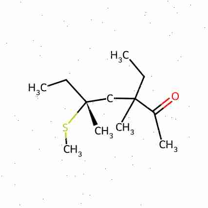 CCC(C)(C[C@@](C)(CC)SC)C(C)=O